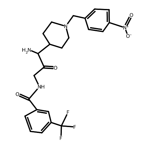 NC(C(=O)CNC(=O)c1cccc(C(F)(F)F)c1)C1CCN(Cc2ccc([N+](=O)[O-])cc2)CC1